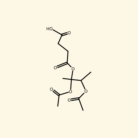 CC(=O)OC(C)C(C)(OC(C)=O)OC(=O)CCC(=O)O